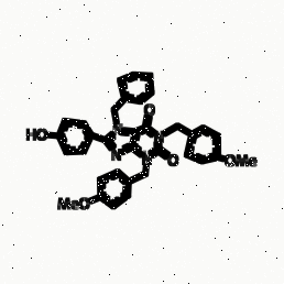 COc1ccc(Cn2c(=O)c3c(nc(-c4ccc(O)cc4)n3Cc3ccccc3)n(Cc3ccc(OC)cc3)c2=O)cc1